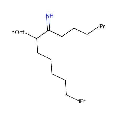 CCCCCCCCC(CCCCCC(C)C)C(=N)CCCC(C)C